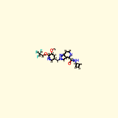 COc1cc(Cn2cc3c(C(=O)NC4=CC=C4)nccc3n2)cnc1OCC(F)(F)F